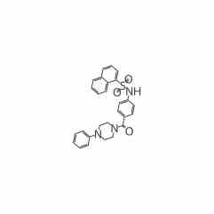 O=C(c1ccc(NS(=O)(=O)c2cccc3ccccc23)cc1)N1CCN(c2ccccc2)CC1